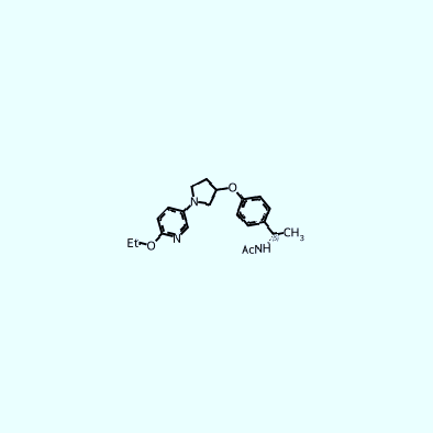 CCOc1ccc(N2CCC(Oc3ccc([C@H](C)NC(C)=O)cc3)C2)cn1